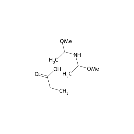 CCC(=O)O.COC(C)NC(C)OC